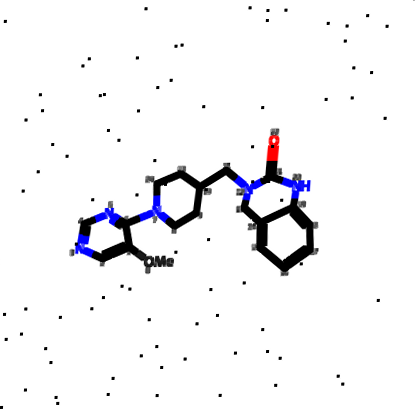 COc1cncnc1N1CCC(CN2Cc3ccccc3NC2=O)CC1